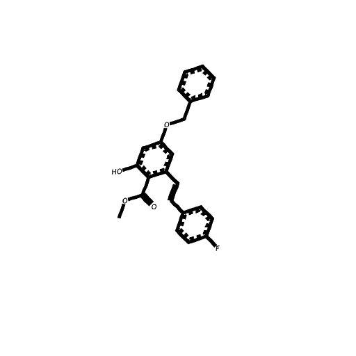 COC(=O)c1c(O)cc(OCc2ccccc2)cc1C=Cc1ccc(F)cc1